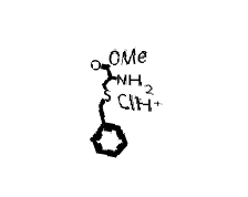 COC(=O)C(N)CSCc1ccccc1.[Cl-].[H+]